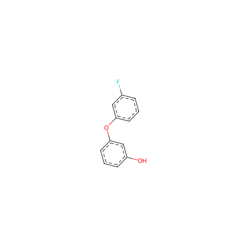 Oc1cccc(Oc2cccc(F)c2)c1